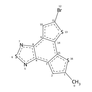 Cc1cc2c3nsnc3c3cc(Br)sc3c2s1